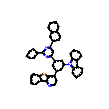 c1ccc(-c2nc(-c3cc(-c4ccnc5c4sc4ccccc45)cc(-n4c5ccccc5c5ccccc54)c3)cc(-c3ccc4ccccc4c3)n2)cc1